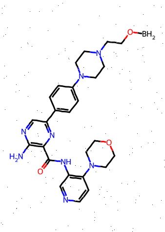 BOCCN1CCN(c2ccc(-c3cnc(N)c(C(=O)Nc4cnccc4N4CCOCC4)n3)cc2)CC1